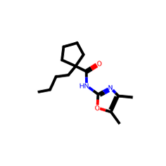 CCCCC1(C(=O)Nc2nc(C)c(C)o2)CCCC1